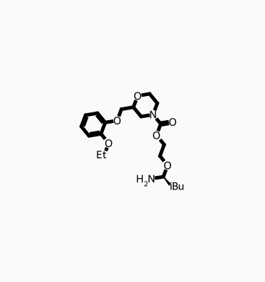 CCOc1ccccc1OCC1CN(C(=O)OCCO[C@H](N)C(C)CC)CCO1